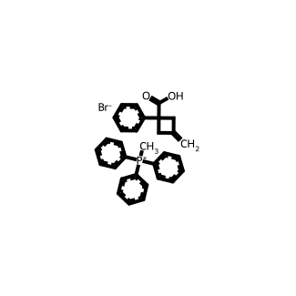 C=C1CC(C(=O)O)(c2ccccc2)C1.C[P+](c1ccccc1)(c1ccccc1)c1ccccc1.[Br-]